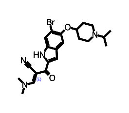 CC(C)N1CCC(Oc2cc3cc(C(=O)/C(C#N)=C/N(C)C)[nH]c3cc2Br)CC1